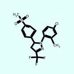 Cc1cc(Cl)ccc1N1N=C(C(F)(F)F)CC1c1ccc(S(C)(=O)=O)cc1